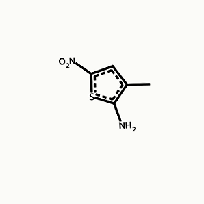 Cc1cc([N+](=O)[O-])sc1N